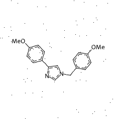 COc1ccc(Cn2cnc(-c3ccc(OC)cc3)c2)cc1